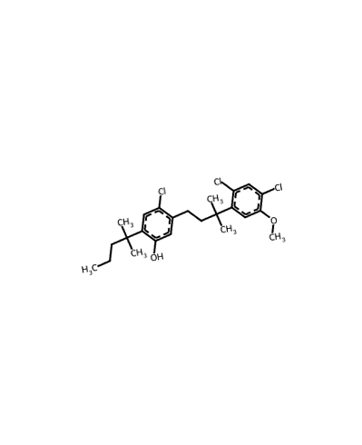 CCCC(C)(C)c1cc(Cl)c(CCC(C)(C)c2cc(OC)c(Cl)cc2Cl)cc1O